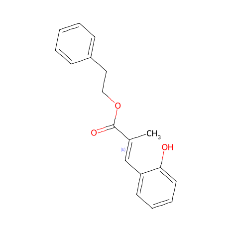 C/C(=C\c1ccccc1O)C(=O)OCCc1ccccc1